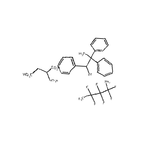 CCC(c1ccccc1)C(P)(c1ccccc1)c1ccccc1.FC(F)(F)C(F)(F)C(F)(F)C(F)(F)P.O=C(O)CC(C(=O)O)S(=O)(=O)O